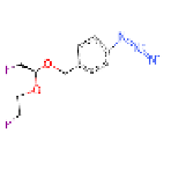 [N-]=[N+]=Nc1ccc(CO[C@H](CI)OCCI)cc1